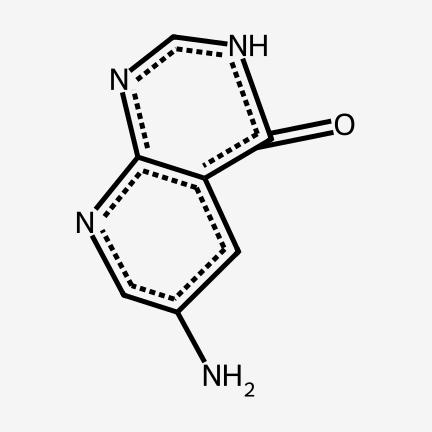 Nc1cnc2nc[nH]c(=O)c2c1